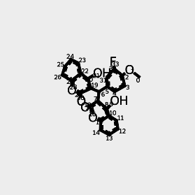 COc1ccc(C(c2c(O)c3ccccc3oc2=O)c2c(O)c3ccccc3oc2=O)cc1F